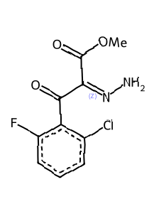 COC(=O)/C(=N\N)C(=O)c1c(F)cccc1Cl